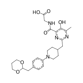 Cc1nc(CC2CCN(c3ccc(CC4OCCCO4)cc3)CC2)nc(C(=O)NCC(=O)O)c1O